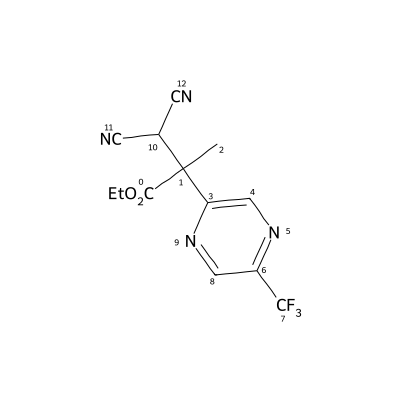 CCOC(=O)C(C)(c1cnc(C(F)(F)F)cn1)C(C#N)C#N